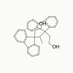 CC(C1(CCO)c2ccccc2-c2ccccc21)C1(CCO)c2ccccc2-c2ccccc21